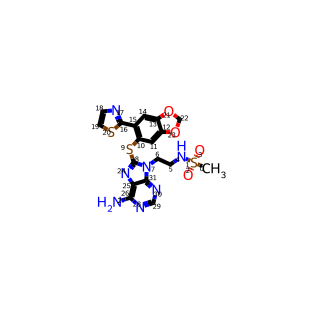 CS(=O)(=O)NCCn1c(Sc2cc3c(cc2-c2nccs2)OCO3)nc2c(N)ncnc21